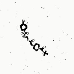 CC(C)(C)OC(=O)N1CCC(CC(=O)OCNS(=O)(=O)c2ccc(N)cc2)CC1